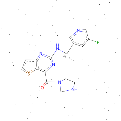 C[C@H](Nc1nc(C(=O)N2CCNC2)c2sccc2n1)c1cncc(F)c1